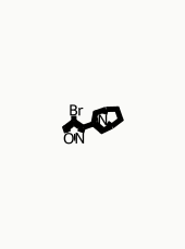 CN1C2C=C(c3nocc3Br)CC1CC2